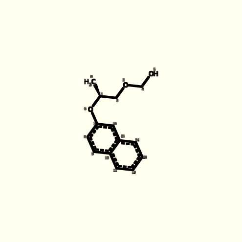 C[C@@H](COCO)Oc1ccc2ccccc2c1